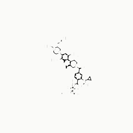 COC[C@H]1CN(c2cc(C)c3c4c(c(=O)oc3c2C)CN(C(=O)c2ccc(C(=O)NS(=O)(=O)N(C)C)c(N(C)C3CC3)c2)CC4)CCN1C